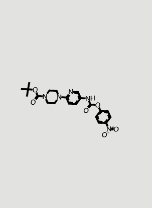 CC(C)(C)OC(=O)N1CCN(c2ccc(NC(=O)Oc3ccc([N+](=O)[O-])cc3)cn2)CC1